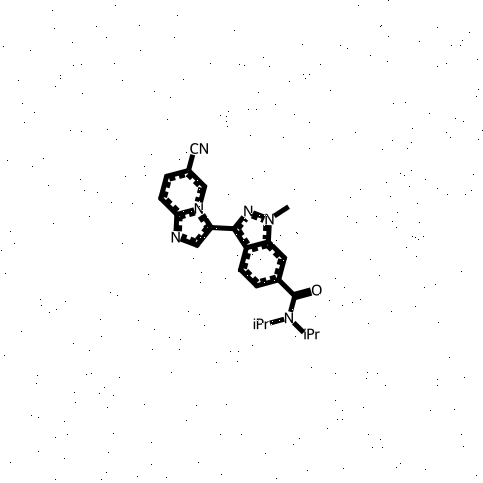 CC(C)N(C(=O)c1ccc2c(-c3cnc4ccc(C#N)cn34)nn(C)c2c1)C(C)C